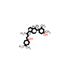 C=C1C[C@@](C)(O)CC[C@]1(C)[C@H]1CC[C@]2(C)[C@@H]([C@H](C)CCC3(O)CCC(C)(C)CC3)CC[C@H]2[C@@H]1C(C)C